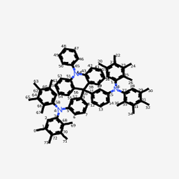 Cc1cc(N(c2cccc(C3(c4cccc(N(c5cc(C)c(C)c(C)c5C)c5cc(C)c(C)c(C)c5C)c4)c4ccccc4N(c4ccccc4)c4ccccc43)c2)c2cc(C)c(C)c(C)c2C)c(C)c(C)c1C